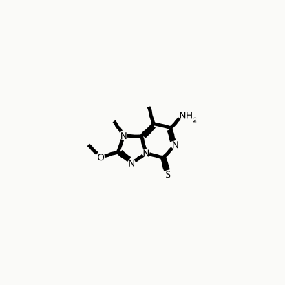 COc1nn2c(=S)nc(N)c(C)c2n1C